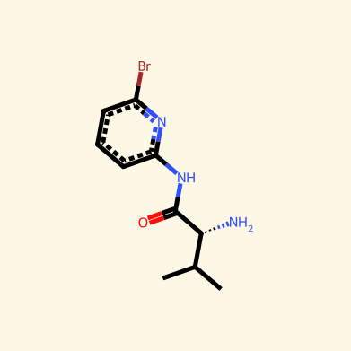 CC(C)[C@@H](N)C(=O)Nc1cccc(Br)n1